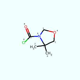 CC1(C)COCN1C(=O)Cl